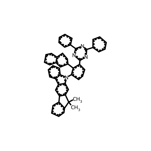 CC1(C)c2ccccc2-c2cc3c4ccccc4n(-c4cccc(-c5nc(-c6ccccc6)nc(-c6ccccc6)n5)c4-c4ccc5ccccc5c4)c3cc21